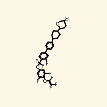 CCC1CCC(C2CCC(c3ccc(-c4ccc(C(F)(F)Oc5cc(F)c(OC(F)=C(F)F)c(F)c5)c(F)c4)cc3)CC2)OC1